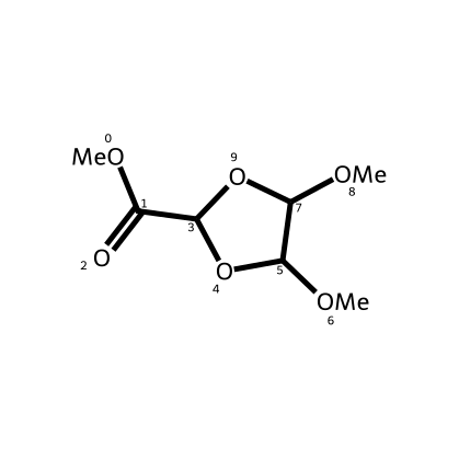 COC(=O)C1OC(OC)C(OC)O1